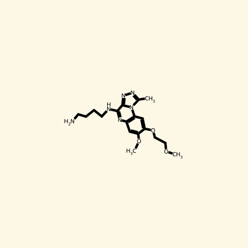 COCCOc1cc2c(cc1OC)nc(NCCCCN)c1nnc(C)n12